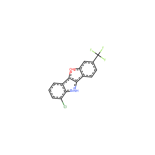 FC(F)(F)c1ccc2c(c1)oc1c3cccc(Cl)c3[nH]c21